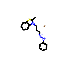 Cc1sc2ccccc2[n+]1CC/C=N/Nc1ccccc1.[Br-]